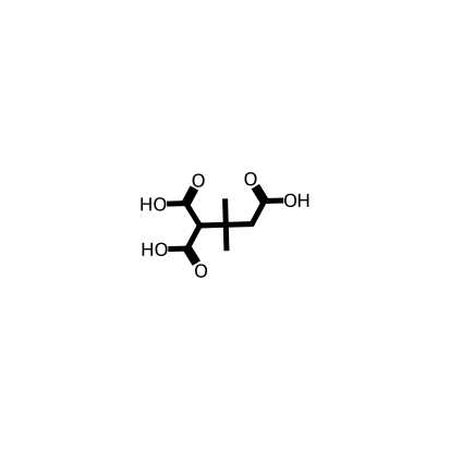 CC(C)(CC(=O)O)C(C(=O)O)C(=O)O